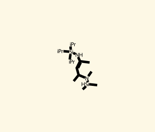 CC(=CC(C)N(C)[SiH](C)C)N[Si](C(C)C)(C(C)C)C(C)C